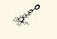 CC1(C)CC(N)(NC(=O)Nc2ncc(-c3ccccc3)s2)CC(C)(C)N1